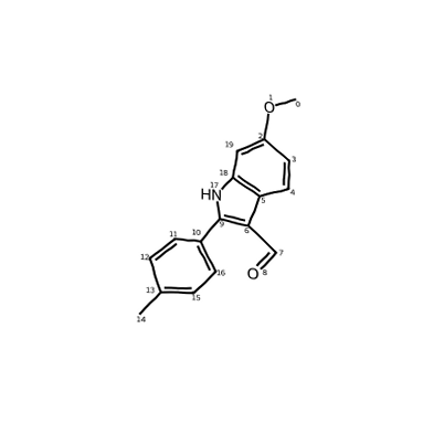 COc1ccc2c(C=O)c(-c3ccc(C)cc3)[nH]c2c1